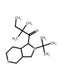 CCC(C)(C)C(=O)C1C2CCSCC2CN1C(C)(C)C